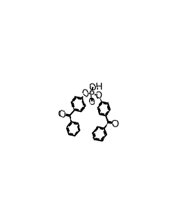 O=C(c1ccccc1)c1ccc(OP(=O)(O)Oc2ccc(C(=O)c3ccccc3)cc2)cc1